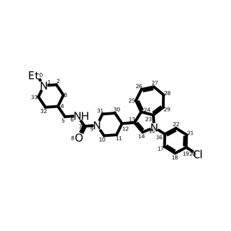 CCN1CCC(CNC(=O)N2CCC(c3cn(-c4ccc(Cl)cc4)c4c3=CC=CCC=4)CC2)CC1